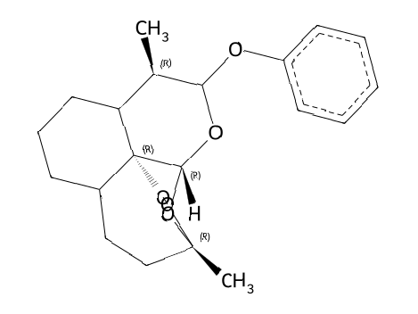 C[C@H]1C(Oc2ccccc2)O[C@@H]2O[C@@]3(C)CCC4CCCC1[C@]42OO3